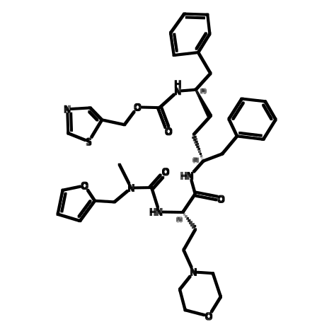 CN(Cc1ccco1)C(=O)N[C@@H](CCN1CCOCC1)C(=O)N[C@H](CC[C@H](Cc1ccccc1)NC(=O)OCc1cncs1)Cc1ccccc1